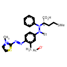 CC(=O)[O-].CCN(c1ccc(N=Nc2scc[n+]2C)c(C)c1)N(c1ccccc1)[C@@H](CCSC)C(=O)O